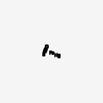 O=S.[Fe].[Hg]